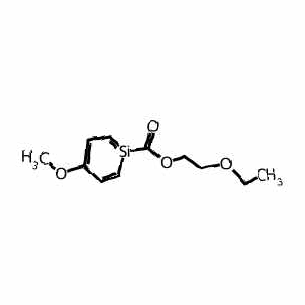 CCOCCOC(=O)[si]1ccc(OC)cc1